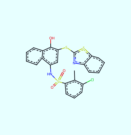 Cc1c(Cl)cccc1S(=O)(=O)Nc1cc(Sc2nc3ccccc3s2)c(O)c2ccccc12